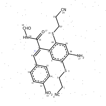 N#CCCSc1cc(/C(=C\c2ccc([N+](=O)[O-])cc2)C(=O)NC=O)c(SCCC#N)cc1N